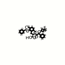 O=C(O)[C@H]1Cc2c(ccc(Cl)c2OCc2ccccc2)CN1C(=O)[C@@H](OC1CC(F)(F)C1)c1ccccc1